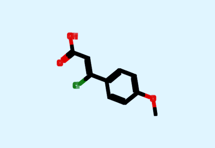 COc1ccc(C(Cl)=CC(=O)O)cc1